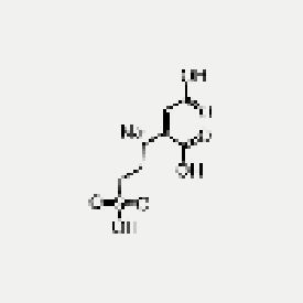 O=C(O)C=C(CCCS(=O)(=O)O)C(=O)O.[Na]